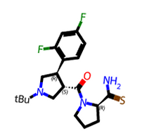 CC(C)(C)N1C[C@@H](C(=O)N2CCC[C@@H]2C(N)=S)[C@H](c2ccc(F)cc2F)C1